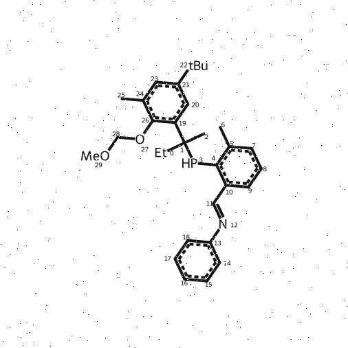 CCC(C)(Pc1c(C)cccc1/C=N/c1ccccc1)c1cc(C(C)(C)C)cc(C)c1OCOC